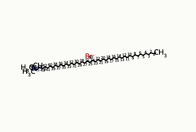 CCCCCCCCCCCCCCCCCCCCCCCCCCCCCCCCCCCCCCCCCCCCCC[N+](C)(C)C.[Br-]